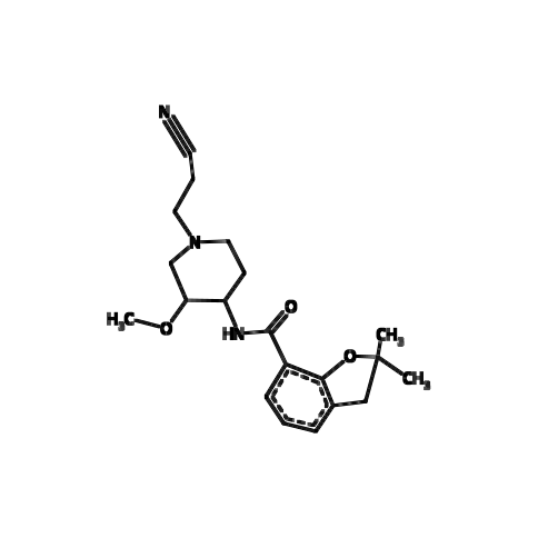 COC1CN(CCC#N)CCC1NC(=O)c1cccc2c1OC(C)(C)C2